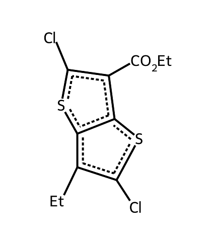 CCOC(=O)c1c(Cl)sc2c(CC)c(Cl)sc12